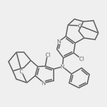 Clc1c(N(c2ccccc2)c2cnc3c(c2Cl)C2CC4CC(CC3C4)C2)cnc2c1C1CC3CC(CC2C3)C1